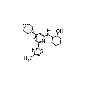 Cc1csc(-c2nc(NC3CCCC[C@@H]3O)cc(N3CCOCC3)n2)n1